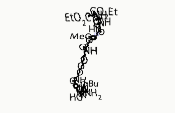 CCCCOc1nc(N)c2nc(O)n(Cc3ccc(C(=O)NCCCOCCOCCOCCCNC(=O)CCCOc4ccc(/C=C/C(=O)NCC(=O)NC(C)C(=O)NC(CCC(=O)OCC)C(=O)OCC)cc4OC)cc3)c2n1